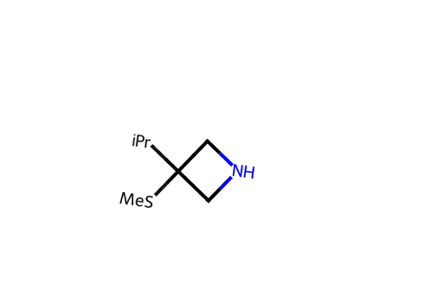 CSC1(C(C)C)CNC1